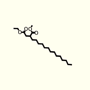 CCCCCCCCCCCCCCC(CC(=O)OCC)C(=O)OC